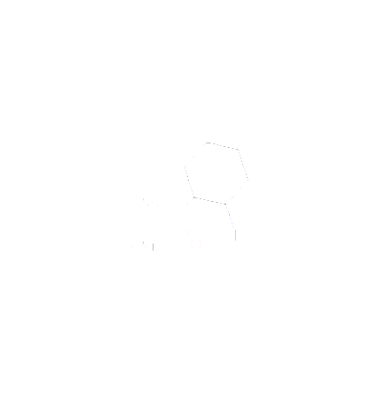 CC(C)(C)S(=O)(=O)C1CCCCC1I